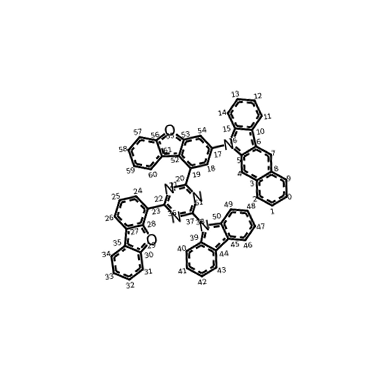 c1ccc2cc3c(cc2c1)c1ccccc1n3-c1cc(-c2nc(-c3cccc4c3oc3ccccc34)nc(-n3c4ccccc4c4ccccc43)n2)c2c(c1)oc1ccccc12